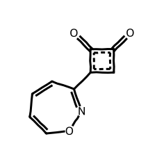 O=c1cc(C2=NOC=CC=C2)c1=O